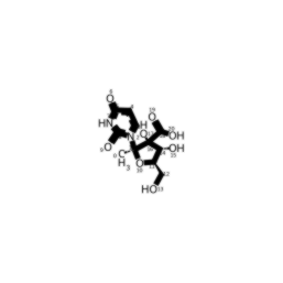 C[C@@]1(n2ccc(=O)[nH]c2=O)O[C@H](CO)[C@@H](O)[C@]1(O)C(=O)O